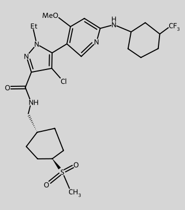 CCn1nc(C(=O)NC[C@H]2CC[C@H](S(C)(=O)=O)CC2)c(Cl)c1-c1cnc(NC2CCCC(C(F)(F)F)C2)cc1OC